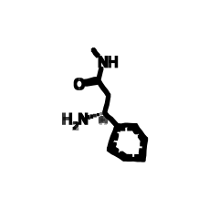 CNC(=O)C[C@@H](N)c1ccccc1